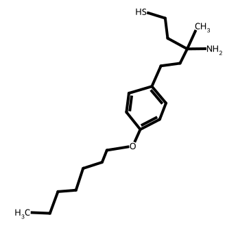 CCCCCCCOc1ccc(CCC(C)(N)CCS)cc1